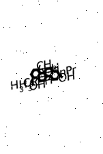 CCC[C@@]1(O)CC[C@H]2[C@H](CC[C@@H]3[C@@H]2CC[C@]2(C)C(C(C)O)CC[C@@H](C)[C@@H]32)C1